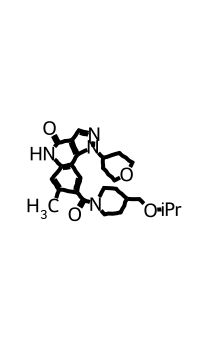 Cc1cc2[nH]c(=O)c3cnn(C4CCOCC4)c3c2cc1C(=O)N1CCC(COC(C)C)CC1